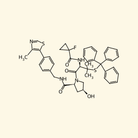 Cc1ncsc1-c1ccc(CNC(=O)[C@@H]2C[C@H](O)CN2C(=O)[C@@H](NC(=O)C2(F)CC2)C(C)(C)SC(c2ccccc2)(c2ccccc2)c2ccccc2)cc1